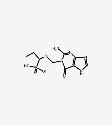 CCC(OCn1c(N)nc2nc[nH]c2c1=O)P(=O)(O)O